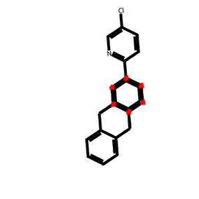 Clc1ccc(-c2ccc3c(c2)C2c4ccccc4C3c3ccccc32)nc1